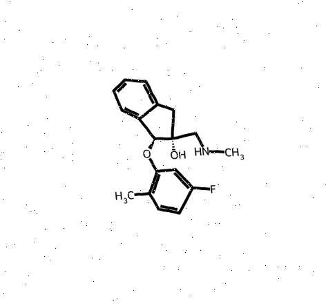 CNC[C@]1(O)Cc2ccccc2[C@@H]1Oc1cc(F)ccc1C